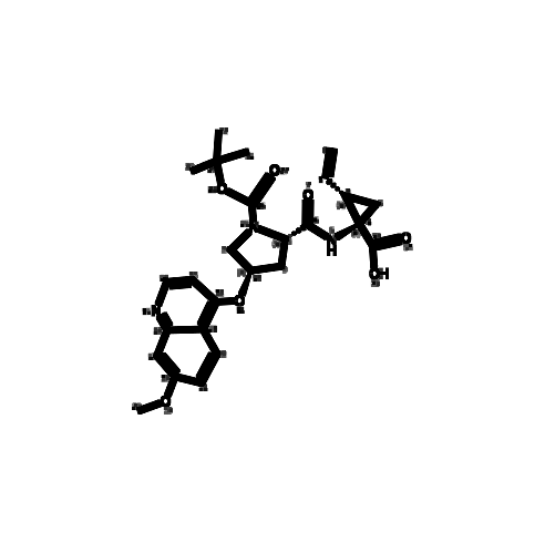 C=C[C@@H]1C[C@]1(NC(=O)[C@@H]1C[C@@H](Oc2ccnc3cc(OC)ccc23)CN1C(=O)OC(C)(C)C)C(=O)O